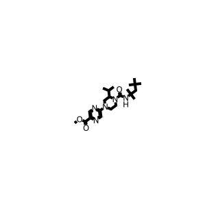 COC(=O)c1cnc(N2CCN(C(=O)NC(C)(C)CC(C)(C)C)C(C(C)C)C2)cn1